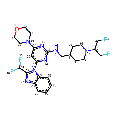 FCC(CF)N1CCC(CNc2nc(N3CCOCC3)cc(-n3c(C(F)F)nc4ccccc43)n2)CC1